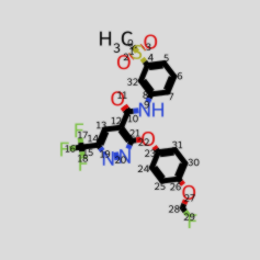 CS(=O)(=O)c1cccc(NC(=O)c2cc(C(F)(F)F)nnc2Oc2ccc(OCF)cc2)c1